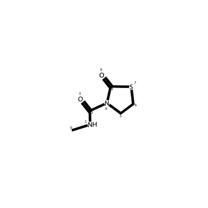 CNC(=O)N1CCSC1=O